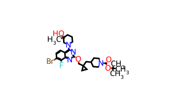 CC(C)(C)OC(=O)N1CCC(CC2(COc3nc(N4CCC[C@@](C)(O)C4)c4ccc(Br)c(F)c4n3)CC2)CC1